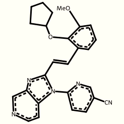 COc1cccc(/C=C/c2nc3cnccc3n2-c2ccc(C#N)cn2)c1OC1CCCC1